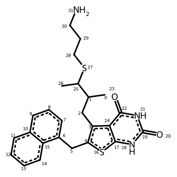 CC(Cc1c(Cc2cccc3ccccc23)sc2[nH]c(=O)[nH]c(=O)c12)C(C)SCCCN